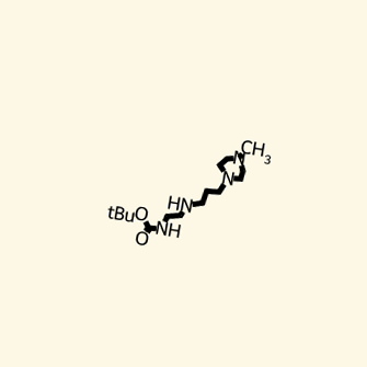 CN1CCN(CCCNCCNC(=O)OC(C)(C)C)CC1